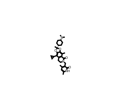 Cc1cc(C)c(CN2CCc3c(c(C)c4c(c3C3CC3)OC(C)([C@H]3CC[C@H](N(C)C)CC3)O4)C2=O)c(=O)[nH]1